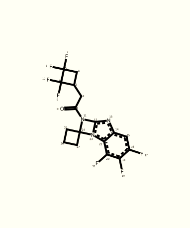 O=C(CC1CC(F)(F)C1(F)F)N1c2nc3cc(F)c(F)c(F)c3n2C12CCC2